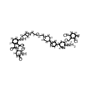 C[C@H](Oc1cc(-c2cnn(C3CCN(CCOCCN4CC(CNc5cccc6c5C(=O)N(C5CCC(=O)NC5=O)C6=O)C4)CC3)c2)cnc1N)c1c(Cl)ccc(F)c1Cl